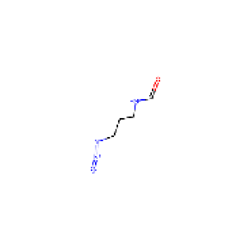 [N-]=[N+]=NCCCNC=O